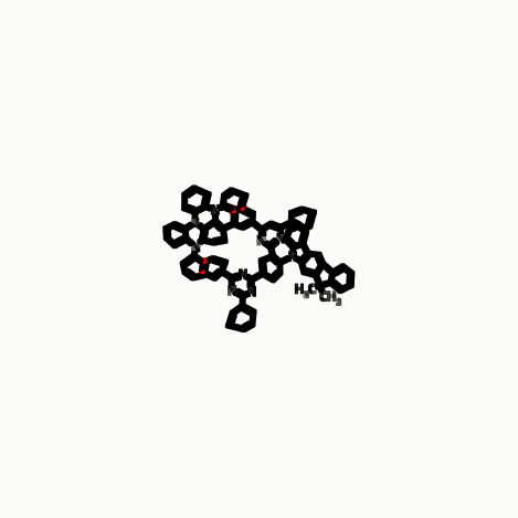 CC1(C)c2ccccc2-c2cc3c4ccccc4n(-c4ccc(-c5nc(-c6ccccc6)nc(-c6ccccc6)n5)cc4-c4nc(-c5ccccc5)cc(-c5cccc(-c6ccc7c8c6N(c6ccccc6)c6ccccc6B8c6ccccc6N7c6ccccc6)c5)n4)c3cc21